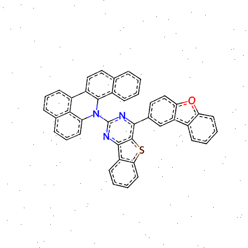 c1ccc2c3c(ccc2c1)-c1cccc2cccc(c12)N3c1nc(-c2ccc3oc4ccccc4c3c2)c2sc3ccccc3c2n1